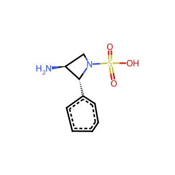 N[C@H]1CN(S(=O)(=O)O)[C@@H]1c1ccccc1